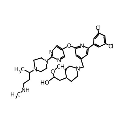 CNCCC(C)N1CCN(c2ncc(Oc3cc(CN4CCC(CC(O)OC)CC4)cc(-c4cc(Cl)cc(Cl)c4)n3)cn2)CC1